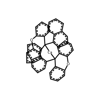 c1ccc2c(c1)Oc1ccccc1[C]2([Ca][C]1(c2cccc3ccccc23)c2ccccc2Oc2ccccc21)c1cccc2ccccc12